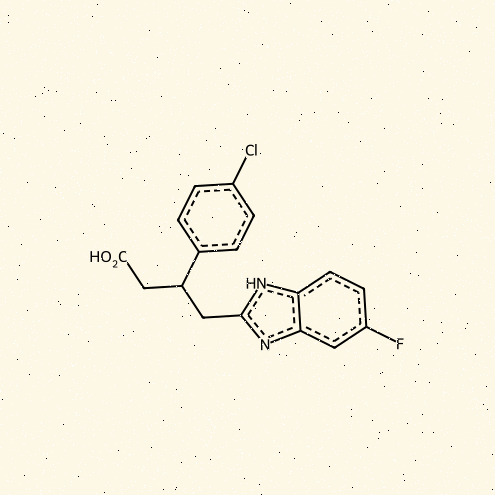 O=C(O)CC(Cc1nc2cc(F)ccc2[nH]1)c1ccc(Cl)cc1